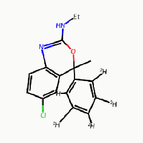 [2H]c1c([2H])c([2H])c(C2(C)OC(NCC)=Nc3ccc(Cl)cc32)c([2H])c1[2H]